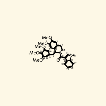 COc1cc2c(cc1OC)C(Cc1cc(OC)c(OC)c(OC)c1)N(C(=O)c1cn(C)c3ccccc13)CC2